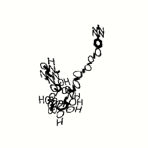 Cc1nnc(-c2ccc(OCCOCCOCCOCCOCCC(=O)NCC3O[C@H](OP(=O)(O)OP(=O)(O)OC[C@H]4O[C@@H](n5cnc6c(=O)[nH]c(C)nc65)[C@@H](O)C4O)C(O)[C@@H](O)[C@@H]3O)cc2)nn1